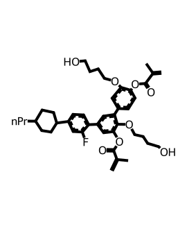 C=C(C)C(=O)Oc1ccc(-c2cc(-c3ccc(C4CCC(CCC)CC4)cc3F)cc(OC(=O)C(=C)C)c2OCCCCO)cc1OCCCCO